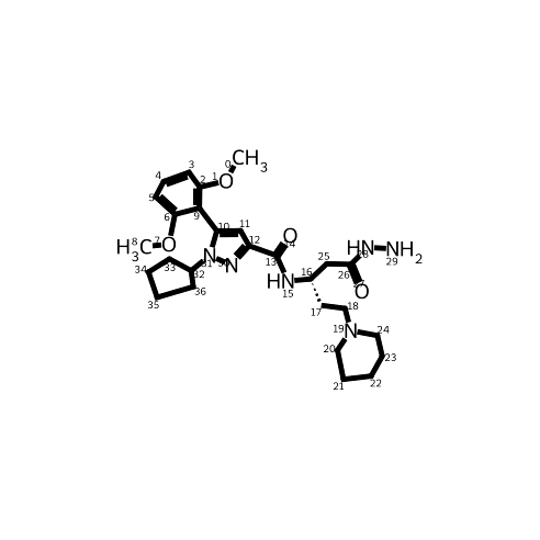 COc1cccc(OC)c1-c1cc(C(=O)N[C@@H](CCN2CCCCC2)CC(=O)NN)nn1C1CCCC1